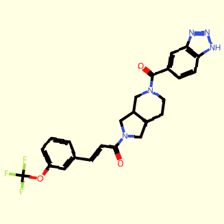 O=C(/C=C/c1cccc(OC(F)(F)F)c1)N1CC2CCN(C(=O)c3ccc4[nH]nnc4c3)CC2C1